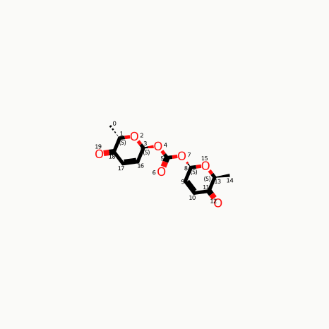 C[C@@H]1O[C@@H](OC(=O)O[C@H]2C=CC(=O)[C@H](C)O2)C=CC1=O